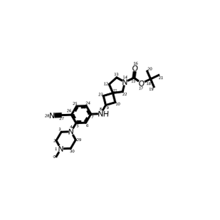 CN1CCN(c2cc(NC3CC4(CCN(C(=O)OC(C)(C)C)C4)C3)ccc2C#N)CC1